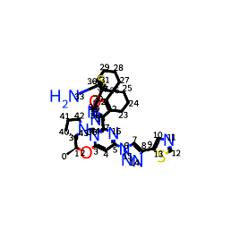 C[C@H](Oc1cc(-n2cc(-c3cncs3)nn2)nc(-c2noc3c2CCC[C@@]32CCCc3sc(N)c(C#N)c32)n1)[C@@H]1CCCN1C